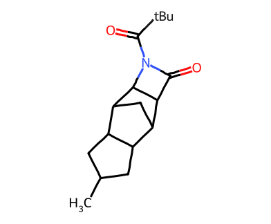 CC1CC2C(C1)C1CC2C2C(=O)N(C(=O)C(C)(C)C)C12